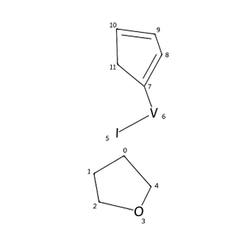 C1CCOC1.[I][V][C]1=CC=CC1